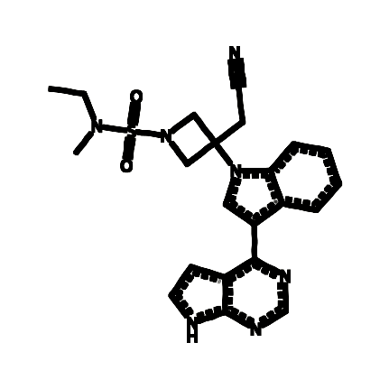 CCN(C)S(=O)(=O)N1CC(CC#N)(n2cc(-c3ncnc4[nH]ccc34)c3ccccc32)C1